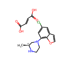 C[C@H]1CN(c2cc(Cl)cc3ccoc23)CCN1.O=C(O)C=CC(=O)O